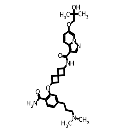 CN(C)CCCc1ccc(C(N)=O)c(OC2CC3(CC(NC(=O)c4cnn5cc(OCC(C)(C)O)ccc45)C3)C2)c1